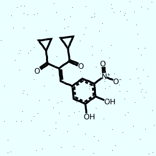 O=C(C(=Cc1cc(O)c(O)c([N+](=O)[O-])c1)C(=O)C1CC1)C1CC1